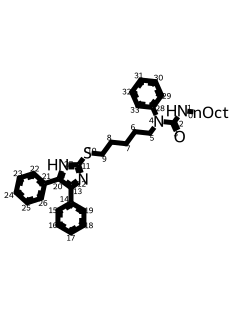 CCCCCCCCNC(=O)N(CCCCCSc1nc(-c2ccccc2)c(-c2ccccc2)[nH]1)c1ccccc1